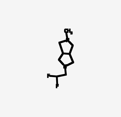 CN1CC2CN(CC(F)F)CC2C1